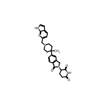 CC1(c2ccc3c(c2)CN(C2CCC(=O)NC2=O)C3=O)CCN(Cc2ccc3cc[nH]c3n2)CC1